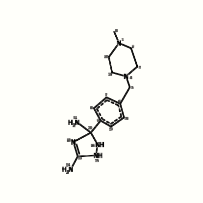 CN1CCN(Cc2ccc(C3(N)N=C(N)NN3)cc2)CC1